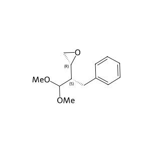 COC(OC)[C@@H](Cc1ccccc1)[C@@H]1CO1